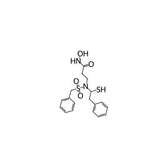 O=C(CCN(C(S)Cc1ccccc1)S(=O)(=O)Cc1ccccc1)NO